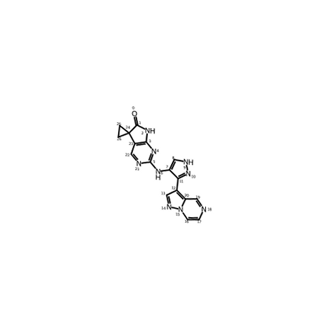 O=C1Nc2nc(Nc3c[nH]nc3-c3cnn4ccncc34)ncc2C12CC2